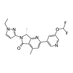 CCn1ccc(N2C(=O)c3c(C)cc(-c4cncc(OC(F)F)c4)nc3[C@H]2C)n1